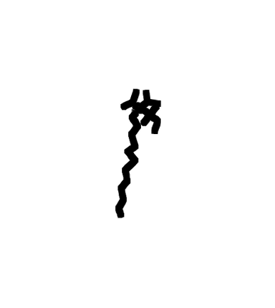 CCCCCCCCCCCC[Si](C(C)C)(C(C)C)C(C)(C)CC